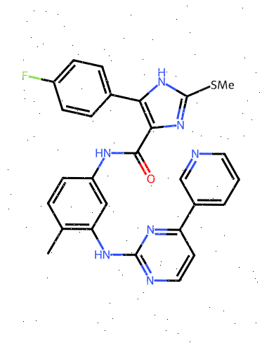 CSc1nc(C(=O)Nc2ccc(C)c(Nc3nccc(-c4cccnc4)n3)c2)c(-c2ccc(F)cc2)[nH]1